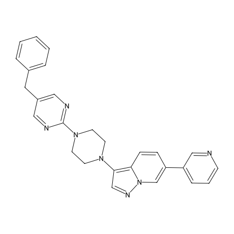 c1ccc(Cc2cnc(N3CCN(c4cnn5cc(-c6cccnc6)ccc45)CC3)nc2)cc1